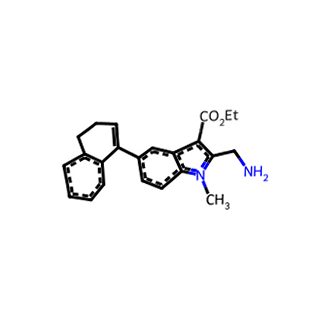 CCOC(=O)c1c(CN)n(C)c2ccc(C3=CCCc4ccccc43)cc12